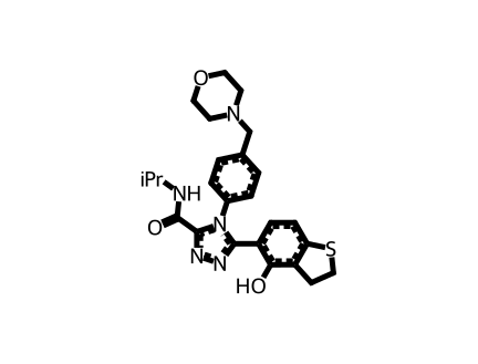 CC(C)NC(=O)c1nnc(-c2ccc3c(c2O)CCS3)n1-c1ccc(CN2CCOCC2)cc1